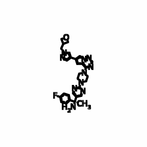 C[C@](N)(c1ccc(F)cc1)c1cnc(N2CCN(c3ncnn4cc(-c5cnn(CC6COC6)c5)cc34)CC2)nc1